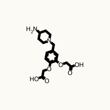 NC1CCN(Cc2ccc(OCC(=O)O)c(OCC(=O)O)c2)CC1